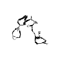 CC(NC(=O)C=Cc1ccc(F)cc1F)c1cccc(N2CCOCC2)c1